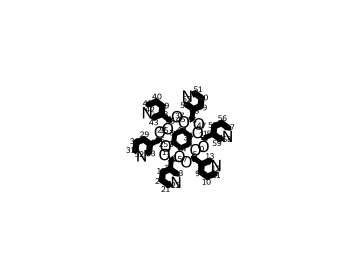 O=C(OC1C(OC(=O)c2cccnc2)C(OC(=O)c2cccnc2)C(OC(=O)c2cccnc2)C(OC(=O)c2cccnc2)C1OC(=O)c1cccnc1)c1cccnc1